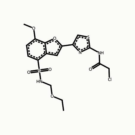 CCOCNS(=O)(=O)c1ccc(OC)c2oc(-c3csc(NC(=O)CCl)n3)cc12